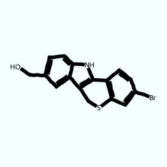 OCc1ccc2[nH]c3c(c2c1)CSc1cc(Br)ccc1-3